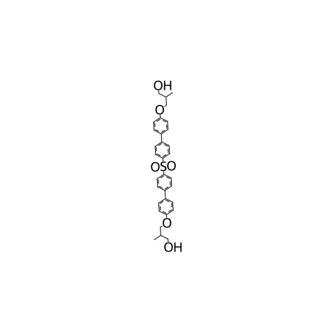 CC(CO)COc1ccc(-c2ccc(S(=O)(=O)c3ccc(-c4ccc(OCC(C)CO)cc4)cc3)cc2)cc1